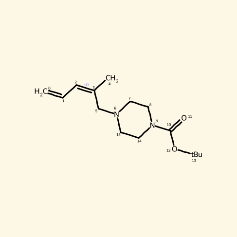 C=C/C=C(/C)CN1CCN(C(=O)OC(C)(C)C)CC1